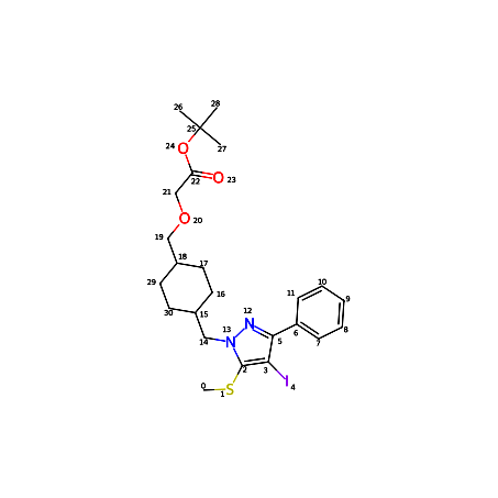 CSc1c(I)c(-c2ccccc2)nn1CC1CCC(COCC(=O)OC(C)(C)C)CC1